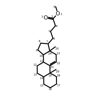 COC(=O)CCCC1CCC2C3CCC4CCCCC4(C)C3=CCC12C